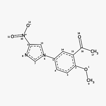 COc1ccc(-n2cnc([N+](=O)[O-])c2)cc1C(C)=O